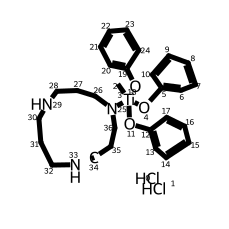 Cl.Cl.[CH3][Ti]([O]c1ccccc1)([O]c1ccccc1)([O]c1ccccc1)[N]1CCCNCCCNCCC1